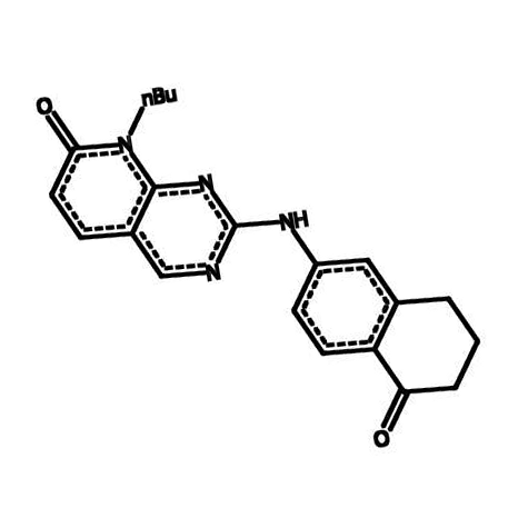 CCCCn1c(=O)ccc2cnc(Nc3ccc4c(c3)CCCC4=O)nc21